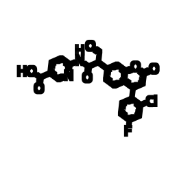 O=CC(C(=O)Nc1ccc(C(=O)O)cn1)c1ccc2c(-c3ccc(F)cc3Cl)cc(=O)oc2c1